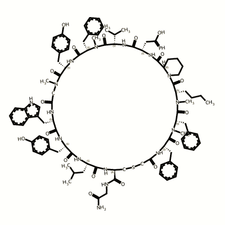 CCCC[C@H]1C(=O)N2CCCC[C@@H]2C(=O)N[C@@H](CC(O)=P)C(=O)N[C@@H](C(C)C)C(=O)N(C)[C@@H](Cc2ccccc2)C(=O)N[C@@H](Cc2ccc(O)cc2)C(=O)N(C)CC(=O)N[C@@H](Cc2c[nH]c3ccccc23)C(=O)N[C@@H](Cc2ccc(O)cc2)C(=O)N[C@@H](CC(C)C)C(=O)N[C@H](C(=O)NCC(N)=O)CSCC(=O)N[C@@H](Cc2ccccc2)C(=O)N(C)[C@@H](Cc2ccccc2)C(=O)N1C